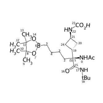 CC(=O)N[C@](CCCCB1OC(C)(C)C(C)(C)O1)(C(=O)NC(C)(C)C)[C@H]1C[C@H](NC(=O)O)C1